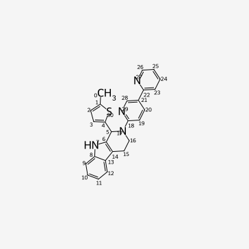 Cc1ccc(C2c3[nH]c4ccccc4c3CCN2c2ccc(-c3ccccn3)cn2)s1